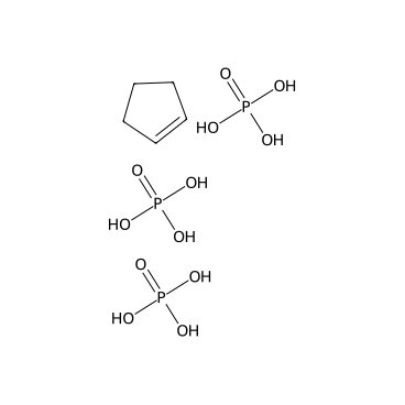 C1=CCCC1.O=P(O)(O)O.O=P(O)(O)O.O=P(O)(O)O